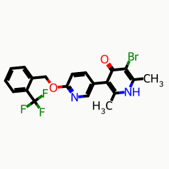 Cc1[nH]c(C)c(-c2ccc(OCc3ccccc3C(F)(F)F)nc2)c(=O)c1Br